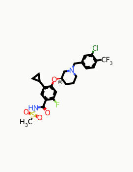 CS(=O)(=O)NC(=O)c1cc(C2CC2)c(O[C@@H]2CCCN(Cc3ccc(C(F)(F)F)c(Cl)c3)C2)cc1F